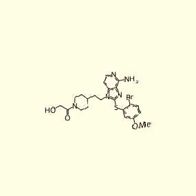 COc1ccc(Br)c(Sc2nc3c(N)nccc3n2CCC2CCN(C(=O)CO)CC2)c1